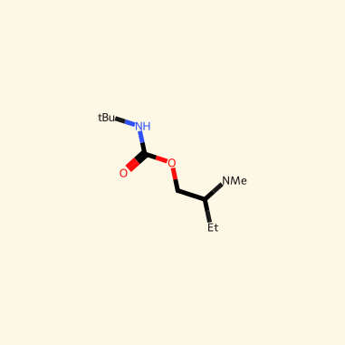 CCC(COC(=O)NC(C)(C)C)NC